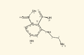 NCCNc1cccc(C(=O)O)c1C(=O)O.[HH]